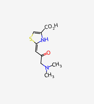 CN(C)CC(=O)/C=C1\NC(C(=O)O)=CS1